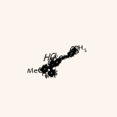 COc1ccc(C2=C(c3cc(F)cc(F)c3)c3ccc(OCCCN4CCN(S(C)(=O)=O)CC4)cc3C2=O)cc1F.Cl